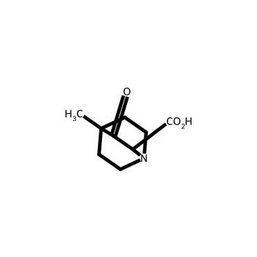 CC12CCN(CC1)C(C(=O)O)C2=O